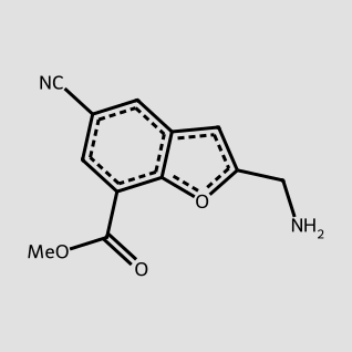 COC(=O)c1cc(C#N)cc2cc(CN)oc12